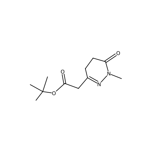 CN1N=C(CC(=O)OC(C)(C)C)CCC1=O